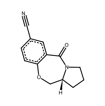 N#Cc1ccc2c(c1)C(=O)N1CCC[C@@H]1CO2